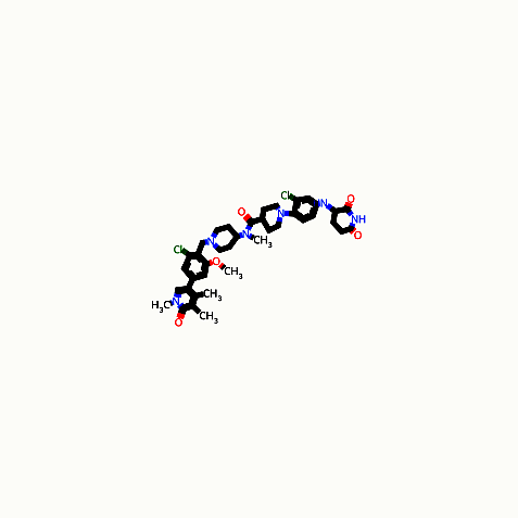 COc1cc(-c2cn(C)c(=O)c(C)c2C)cc(Cl)c1CN1CCC(N(C)C(=O)C2CCN(c3ccc(NC4CCC(=O)NC4=O)cc3Cl)CC2)CC1